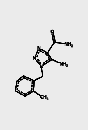 Cc1ccccc1Cn1nnc(C(N)=O)c1N